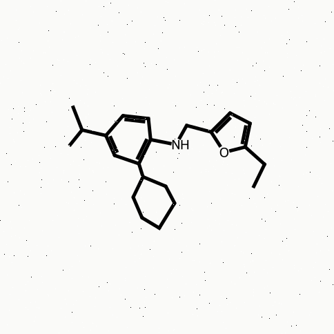 CCc1ccc(CNc2ccc(C(C)C)cc2C2CCCCC2)o1